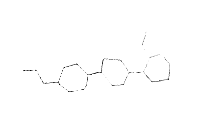 CCCC1CCC(C2CCC(C3CCCO[C@H]3CC)CC2)CC1